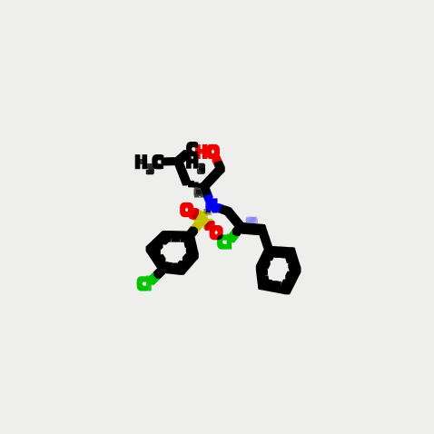 CC(C)C[C@H](CO)N(C/C(Cl)=C/c1ccccc1)S(=O)(=O)c1ccc(Cl)cc1